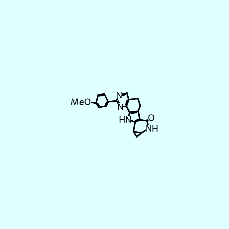 COc1ccc(-c2ncc3c(n2)-c2[nH]c4c(c2CC3)C(=O)NC2CC42)cc1